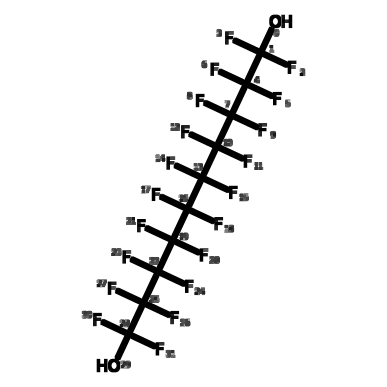 OC(F)(F)C(F)(F)C(F)(F)C(F)(F)C(F)(F)C(F)(F)C(F)(F)C(F)(F)C(F)(F)C(O)(F)F